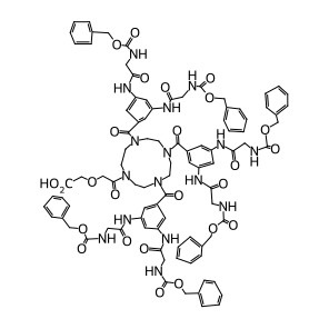 O=C(O)COCC(=O)N1CCN(C(=O)c2cc(NC(=O)CNC(=O)OCc3ccccc3)cc(NC(=O)CNC(=O)OCc3ccccc3)c2)CCN(C(=O)c2cc(NC(=O)CNC(=O)OCc3ccccc3)cc(NC(=O)CNC(=O)OCc3ccccc3)c2)CCN(C(=O)c2cc(NC(=O)CNC(=O)OCc3ccccc3)cc(NC(=O)CNC(=O)OCc3ccccc3)c2)CC1